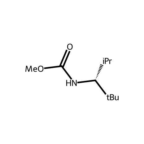 COC(=O)N[C@H](C(C)C)C(C)(C)C